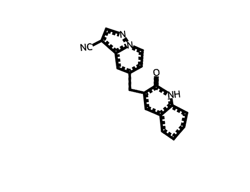 N#Cc1cnn2ccc(Cc3cc4ccccc4[nH]c3=O)cc12